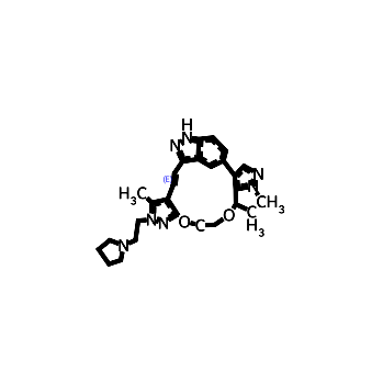 Cc1c2c(nn1CCN1CCCC1)OCCOC(C)c1c(cnn1C)-c1ccc3[nH]nc(c3c1)/C=C/2